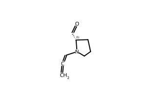 C=C=CN1CCC[C@H]1C=O